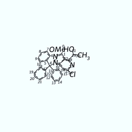 COc1nn(C(c2ccccc2)(c2ccccc2)c2ccccc2)c2cc(Cl)nc(C(C)O)c12